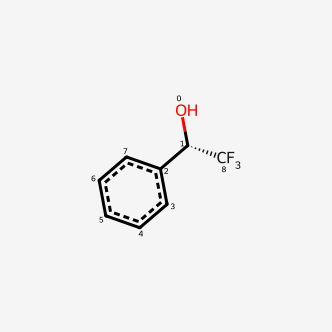 O[C@@H](c1ccccc1)C(F)(F)F